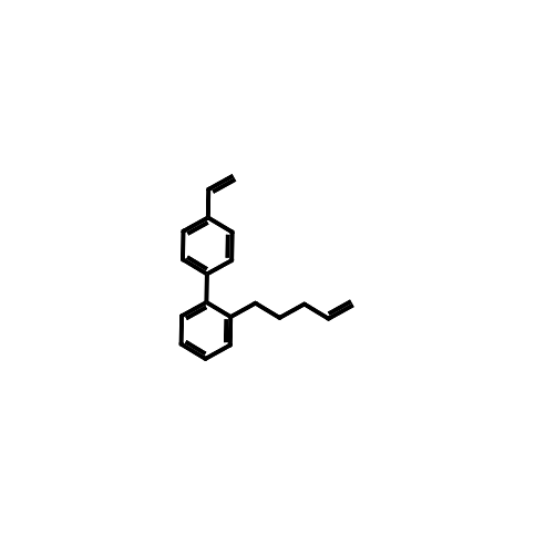 C=CCCCc1ccccc1-c1ccc(C=C)cc1